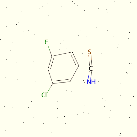 Fc1cccc(Cl)c1.N=C=S